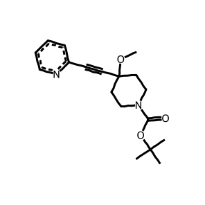 COC1(C#Cc2ccccn2)CCN(C(=O)OC(C)(C)C)CC1